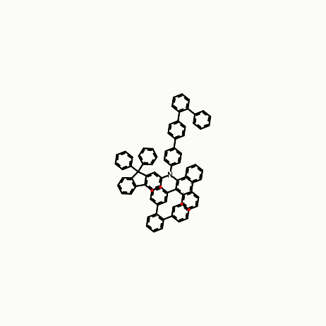 c1ccc(-c2ccccc2-c2ccc(-c3ccc(N(c4ccc5c(c4)C(c4ccccc4)(c4ccccc4)c4ccccc4-5)c4c(-c5cccc(-c6ccccc6-c6ccccc6)c5)c5ccccc5c5ccccc45)cc3)cc2)cc1